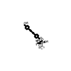 CC(N)(C(F)F)C(NC(=O)c1ccc(C#CC#Cc2ccc(CO)cc2)cc1)C(=O)NO